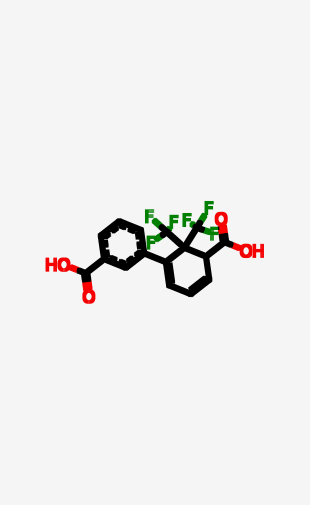 O=C(O)c1cccc(C2=CC=CC(C(=O)O)C2(C(F)(F)F)C(F)(F)F)c1